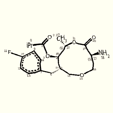 CC(C)C(=O)O[C@@H]1[C@@H](Cc2ccc(F)cc2)COC[C@H](N)C(=O)O[C@H]1C